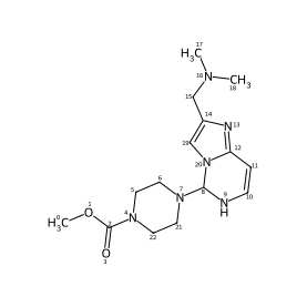 COC(=O)N1CCN(C2NC=Cc3nc(CN(C)C)cn32)CC1